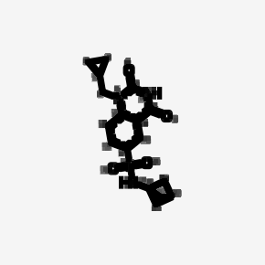 O=c1[nH]c(=O)n(CC2CC2)c2ccc(S(=O)(=O)NC34CC(C3)C4)cc12